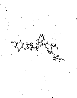 C[C@H]1C[C@H](Nc2ncncc2C(=O)c2cc(CC3=CCCCC3)cs2)C[C@@H]1COS(N)(=O)=O